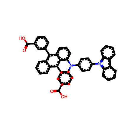 O=C(O)c1cccc(-c2c3ccccc3c(-c3cccc(C(=O)O)c3)c3c(N(c4ccccc4)c4ccc(-n5c6ccccc6c6ccccc65)cc4)cccc23)c1